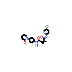 CC1(C(=O)Nc2ccc(Cl)cn2)CC1C(=O)Nc1ccc(-n2ccccc2=O)cc1F